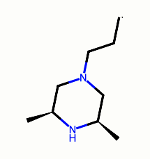 [CH2]CCN1C[C@@H](C)N[C@@H](C)C1